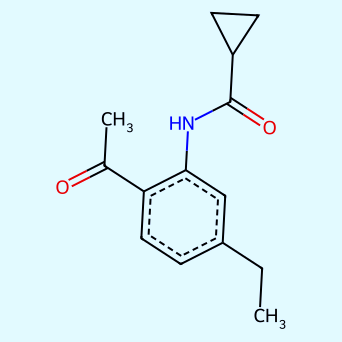 CCc1ccc(C(C)=O)c(NC(=O)C2CC2)c1